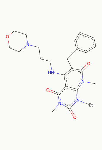 CCn1c(=O)n(C)c(=O)c2c(NCCCN3CCOCC3)c(Cc3ccccc3)c(=O)n(C)c21